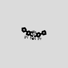 CC(C)c1cc(-c2ccccc2)cc(C(C)C)c1-c1ncnc(-c2c(C(C)C)cc(-c3ccccc3)cc2C(C)C)n1